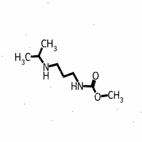 COC(=O)NCCCNC(C)C